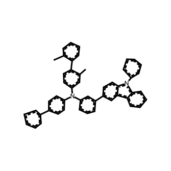 Cc1ccccc1-c1ccc(N(c2ccc(-c3ccccc3)cc2)c2cccc(-c3ccc4c(c3)c3ccccc3n4-c3ccccc3)c2)cc1C